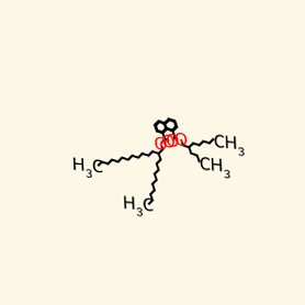 CCCCCCCCCCCCC(CCCCCCCCCC)COC(=O)c1cccc2cccc(C(=O)OCC(CCCC)CCCCCC)c12